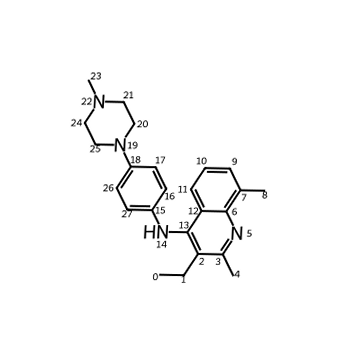 CCc1c(C)nc2c(C)cccc2c1Nc1ccc(N2CCN(C)CC2)cc1